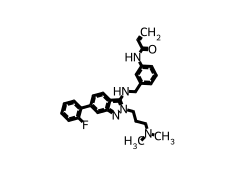 C=CC(=O)Nc1cccc(CNc2c3ccc(-c4ccccc4F)cc3nn2CCCN(C)C)c1